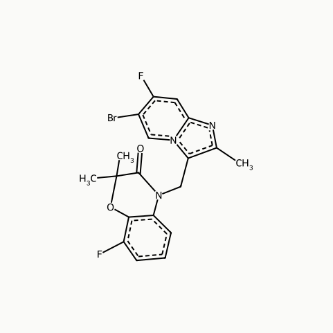 Cc1nc2cc(F)c(Br)cn2c1CN1C(=O)C(C)(C)Oc2c(F)cccc21